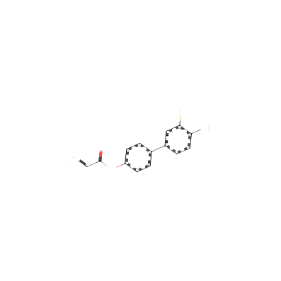 C=CC(=O)Oc1ccc(-c2ccc(C)c(F)c2)cc1